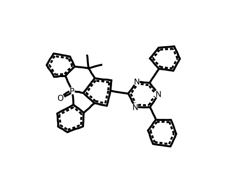 CC1(C)c2ccccc2P2(=O)c3ccccc3-c3cc(-c4nc(-c5ccccc5)nc(-c5ccccc5)n4)cc1c32